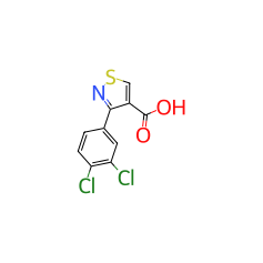 O=C(O)c1csnc1-c1ccc(Cl)c(Cl)c1